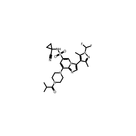 Cc1nn(C(F)F)c(C)c1-c1cnc2c(N3CCN(C(=O)C(C)C)CC3)cc(S(=O)(=O)NC3(C#N)CC3)cn12